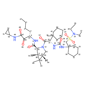 CCCC[C@H](NC(=O)[C@@H]1[C@@H]2[C@H](CN1C(=O)[C@@H](NC(=O)NC1(CS(=O)(=O)N(CC)CC)CCCCC1)C1(C)CCCCC1)C2(C)C)C(=O)C(=O)NC1CC1